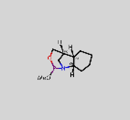 COP1OC[C@H]2CN1[C@H]1CCCC[C@@H]21